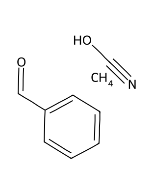 C.N#CO.O=Cc1ccccc1